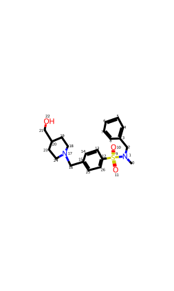 CN(Cc1ccccc1)S(=O)(=O)c1ccc(CN2CCC(CO)CC2)cc1